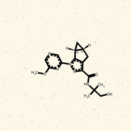 COc1cncc(-n2nc(C(=O)NC(C)(C)CO)c3c2[C@@H]2C[C@@H]2C3)n1